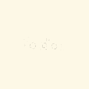 COC(=O)c1ccc(-c2nc(Oc3ccc(C(F)(F)F)cc3)sc2Br)cc1